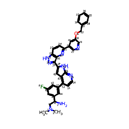 CN(C)CC(N)c1cc(F)cc(-c2ccnc3[nH]c(-c4n[nH]c5ccc(-c6cncc(OCc7ccccc7)c6)nc45)cc23)c1